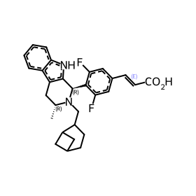 C[C@@H]1Cc2c([nH]c3ccccc23)[C@@H](c2c(F)cc(/C=C/C(=O)O)cc2F)N1CC1CCC2CC1C2